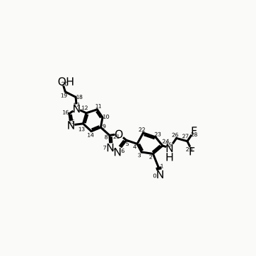 N#Cc1cc(-c2nnc(-c3ccc4c(c3)ncn4CCO)o2)ccc1NCC(F)F